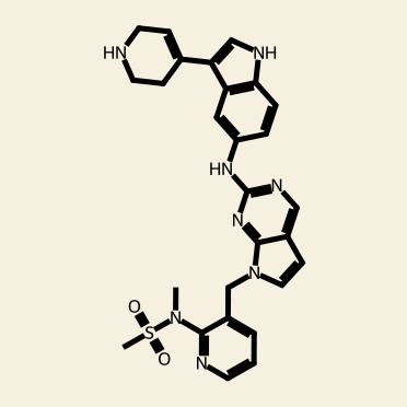 CN(c1ncccc1Cn1ccc2cnc(Nc3ccc4[nH]cc(C5=CCNCC5)c4c3)nc21)S(C)(=O)=O